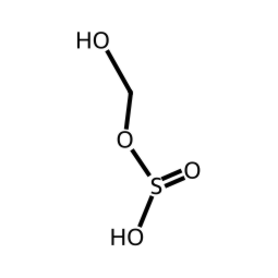 O=S(O)OCO